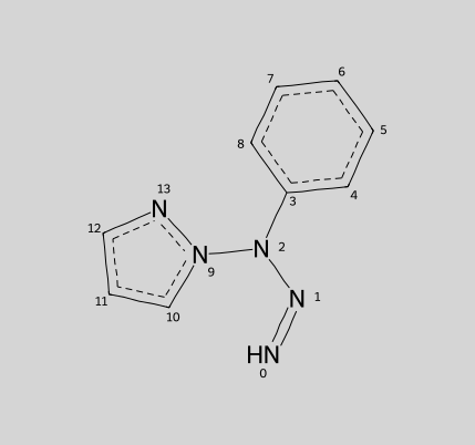 N=NN(c1ccccc1)n1cccn1